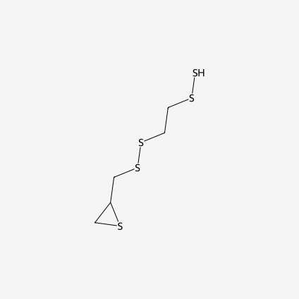 SSCCSSCC1CS1